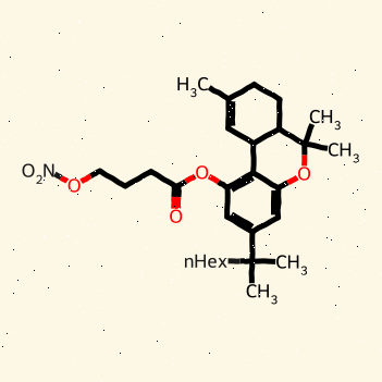 CCCCCCC(C)(C)c1cc(OC(=O)CCCO[N+](=O)[O-])c2c(c1)OC(C)(C)C1CCC(C)=CC21